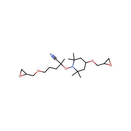 CC(C#N)(CCCOCC1CO1)ON1C(C)(C)CC(OCC2CO2)CC1(C)C